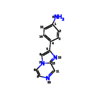 Nc1ccc(-c2cn3ccncc3n2)cc1